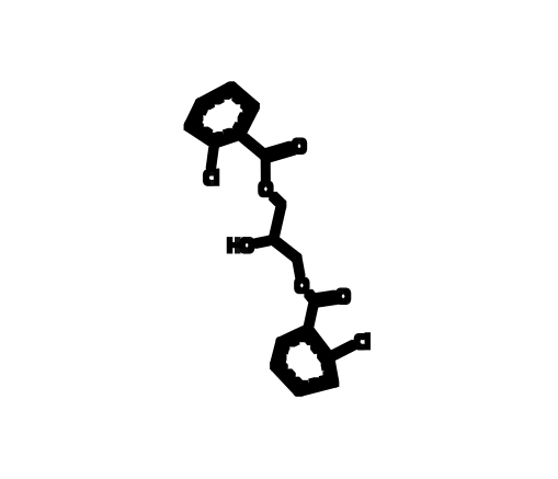 O=C(OCC(O)COC(=O)c1ccccc1Cl)c1ccccc1Cl